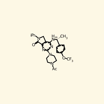 CC(=O)N1CCN(c2nc(N[C@H](C)c3ccc(OC(F)(F)F)cc3)c3c(n2)C(=O)N(C(C)C)C3)CC1